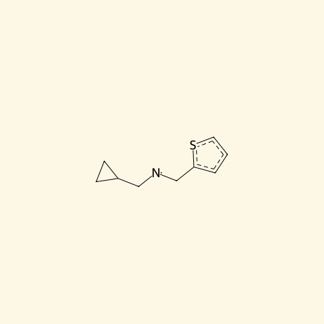 c1csc(C[N]CC2CC2)c1